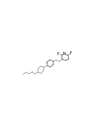 CCCCCC1CCC(c2ccc(CCc3ccc(F)nc3F)cc2)CC1